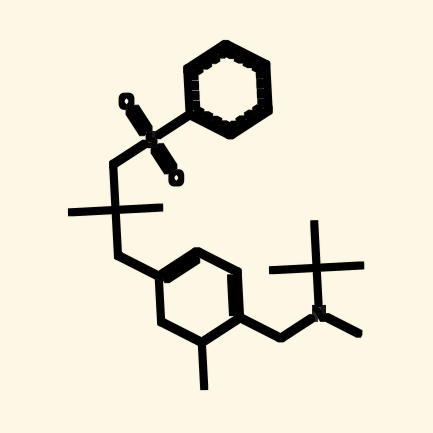 CC1CC(CC(C)(C)CS(=O)(=O)c2ccccc2)=CC=C1CN(C)C(C)(C)C